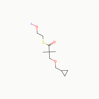 CC(C)(COCC1CC1)C(=O)SCCOI